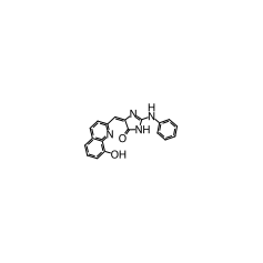 O=C1NC(Nc2ccccc2)=NC1=Cc1ccc2cccc(O)c2n1